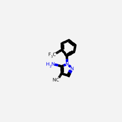 N#Cc1cnn(-c2ccccc2C(F)(F)F)c1N